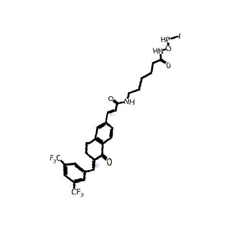 O=C(/C=C/c1ccc2c(c1)CC/C(=C\c1cc(C(F)(F)F)cc(C(F)(F)F)c1)C2=O)NCCCCCC(=O)NOPI